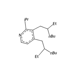 CCCCC(CC)Cc1ccnc(C(C)C)c1CC(CC)CCCC